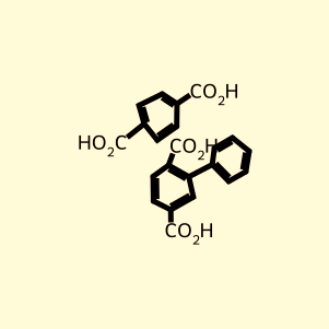 O=C(O)c1ccc(C(=O)O)c(-c2ccccc2)c1.O=C(O)c1ccc(C(=O)O)cc1